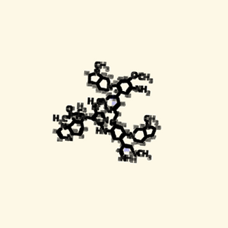 CN/C=C(\C=N)c1cc(Nc2ncc(Br)c(Nc3ccc4nccnc4c3P(C)(C)=O)n2)c(OC/C=C/C(=C\N(C)N)c2cc(N)c(OC)cc2N2CCC3CCN(C)C3C2)cc1N1CCC2CCN(C)C2C1